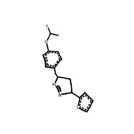 FC(F)Oc1ccc(C2CC(c3cccs3)N=N2)cc1